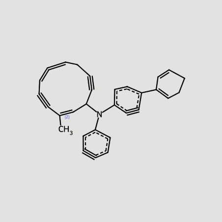 C/C1=C/C(N(c2c#cc(C3=CCCC=C3)cc2)c2cc#ccc2)C#CCC=C=CC#C1